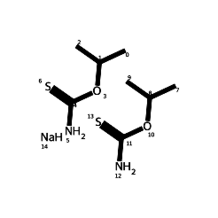 CC(C)OC(N)=S.CC(C)OC(N)=S.[NaH]